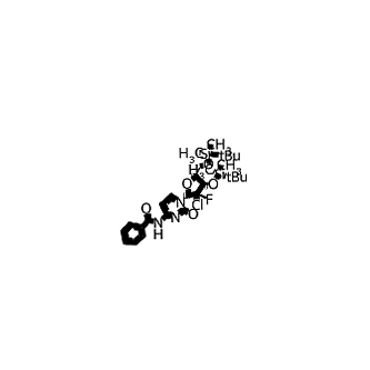 CC(C)(C)[Si](C)(C)OC[C@H]1O[C@@H](n2ccc(NC(=O)c3ccccc3)nc2=O)[C@@](F)(Cl)[C@@H]1O[Si](C)(C)C(C)(C)C